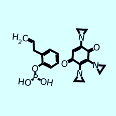 C=CCc1ccccc1OP(O)O.O=C1C=C(N2CC2)C(=O)C(N2CC2)=C1N1CC1